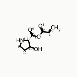 C=CC(=O)OC(=O)[C@H]1NCCC1O